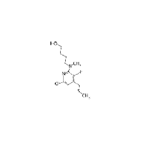 CSCc1cc(Cl)nc(N(C)CCCCO)c1F